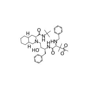 CC(C)(C)NC(=O)[C@@H]1C[C@@H]2CCCC[C@@H]2CN1C[C@@H](O)[C@H](Cc1ccccc1)NC(=O)[C@@H](NCc1ccccc1)C(C)(C)S(C)(=O)=O